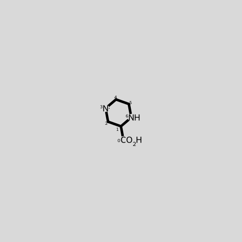 O=C(O)C1C[N]CCN1